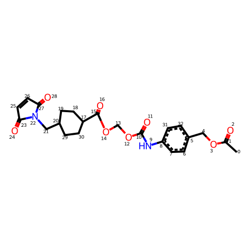 CC(=O)OCc1ccc(NC(=O)OCOC(=O)C2CCC(CN3C(=O)C=CC3=O)CC2)cc1